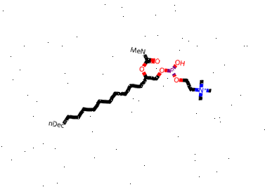 CCCCCCCCCCCCCCCCCCCCC(COP(O)OCC[N+](C)(C)C)OC(=O)NC